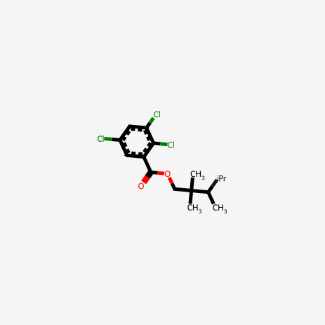 CC(C)C(C)C(C)(C)COC(=O)c1[c]c(Cl)cc(Cl)c1Cl